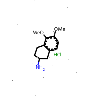 COc1ccc2c(c1OC)CCC(N)C2.Cl